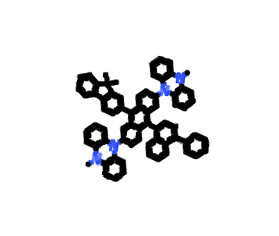 CN1c2ccccc2N(c2ccc3c(-c4ccc(-c5ccccc5)c5ccccc45)c4cc(N5c6ccccc6N(C)c6ccccc65)ccc4c(-c4ccc5c(c4)C(C)(C)c4ccccc4-5)c3c2)c2ccccc21